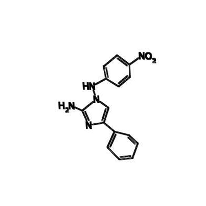 Nc1nc(-c2ccccc2)cn1Nc1ccc([N+](=O)[O-])cc1